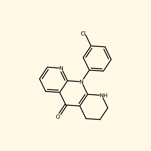 O=c1c2c(n(-c3cccc(Cl)c3)c3ncccc13)NCCC2